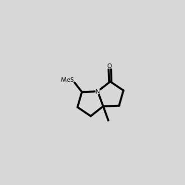 CSC1CCC2(C)CCC(=O)N12